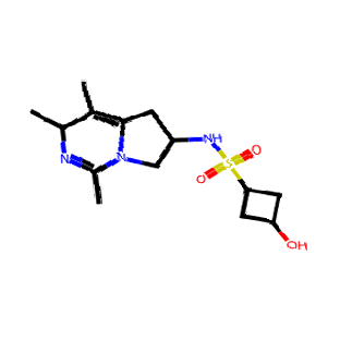 CC1=NC(C)C(C)=C2CC(NS(=O)(=O)C3CC(O)C3)CN12